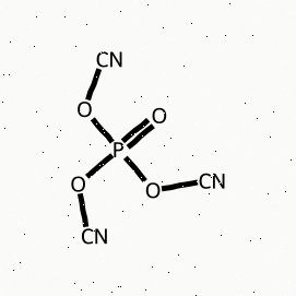 N#COP(=O)(OC#N)OC#N